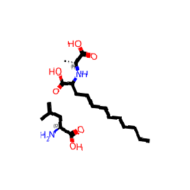 CC(C)C[C@H](N)C(=O)O.CCCCCCCCCCC(N[C@H](C)C(=O)O)C(=O)O